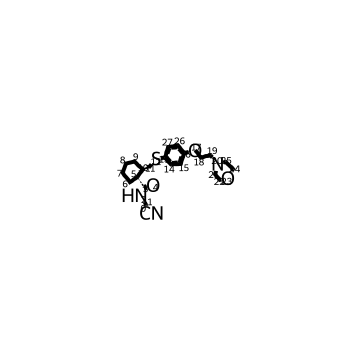 N#CCNC(=O)[C@@H]1CCCC[C@H]1CSc1ccc(OCCN2CCOCC2)cc1